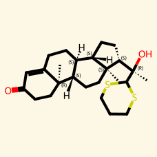 C[C@]12CC[C@H]3[C@@H](CCC4=CC(=O)CC[C@@]43C)[C@@H]1CC[C@@H]2[C@@](C)(O)C1SCCCS1